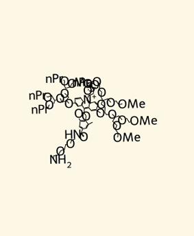 CCCOCC(COCCC)OCC(COC(COCCC)COCCC)Oc1ccc2c(c1)c(C(=O)Oc1c(C)cc(C(=O)NCCOCCOCCN)cc1C)c1cc(OC(COC(COCCOC)COCCOC)COC(COCCOC)COCCOC)ccc1[n+]2CCCS(=O)(=O)[O-]